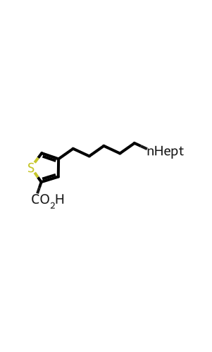 CCCCCCCCCCCCc1csc(C(=O)O)c1